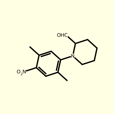 Cc1cc([N+](=O)[O-])c(C)cc1N1CCCCC1C=O